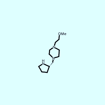 COCCN1CCN(C[C@@H]2CCCN2)CC1